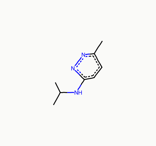 Cc1ccc(NC(C)C)nn1